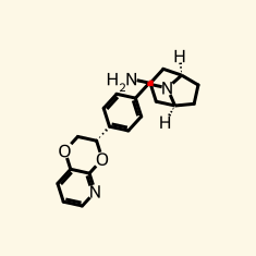 NC1C[C@H]2CC[C@@H](C1)N2Cc1ccc([C@H]2COc3cccnc3O2)cc1